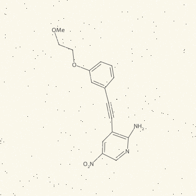 COCCOc1cccc(C#Cc2cc([N+](=O)[O-])cnc2N)c1